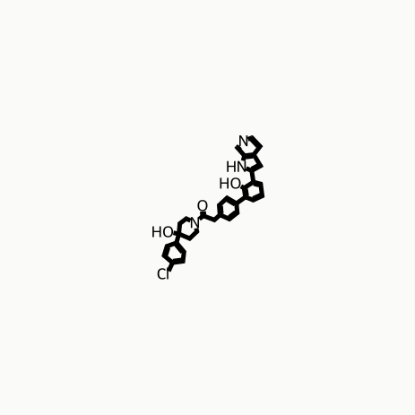 O=C(Cc1ccc(-c2cccc(-c3cc4ccncc4[nH]3)c2O)cc1)N1CCC(O)(c2ccc(Cl)cc2)CC1